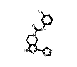 O=C(Nc1cccc(Cl)c1)N1CCc2[nH]nc(-c3cncs3)c2C1